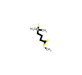 CSC(=S)CCC[Si](C)(C)F